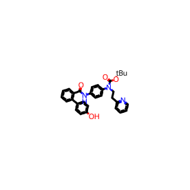 CC(C)(C)OC(=O)N(CCc1ccccn1)c1ccc(NC(=O)c2ccccc2-c2ccc(O)cc2)cc1